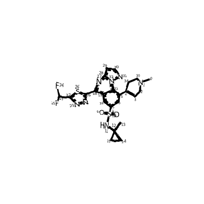 CN1CC=C(c2cc(S(=O)(=O)NC3(C)CC3)cc3c(-c4nnc(C(F)F)s4)nc4ccnn4c23)CC1